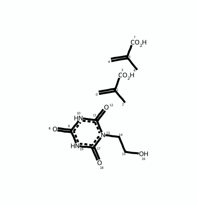 C=C(C)C(=O)O.C=C(C)C(=O)O.O=c1[nH]c(=O)n(CCO)c(=O)[nH]1